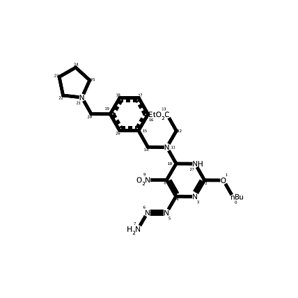 CCCCOC1=NC(N=NN)=C([N+](=O)[O-])C(N(CC(=O)OCC)Cc2cccc(CN3CCCC3)c2)N1